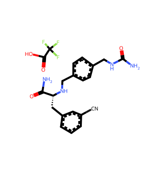 N#Cc1cccc(C[C@@H](NCc2ccc(CNC(N)=O)cc2)C(N)=O)c1.O=C(O)C(F)(F)F